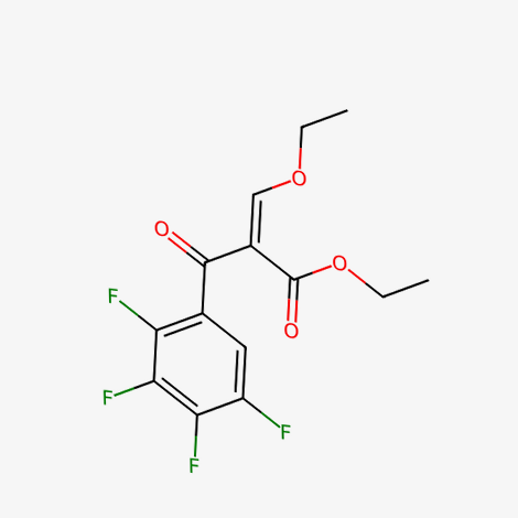 CCOC=C(C(=O)OCC)C(=O)c1cc(F)c(F)c(F)c1F